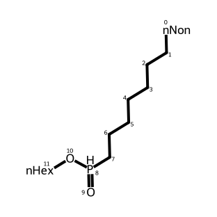 CCCCCCCCCCCCCCCC[PH](=O)OCCCCCC